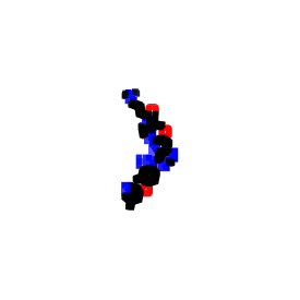 Cc1cncc(Oc2ccc(Nc3ncnc4cc5c(nc34)N3CCN(C(=O)/C=C/CN(C)C)[C@H](CO5)C3)cc2C)c1